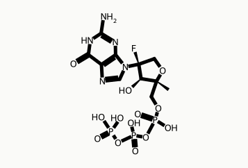 C[C@]1(COP(=O)(O)OP(=O)(O)OP(=O)(O)O)OC[C@@](F)(n2cnc3c(=O)[nH]c(N)nc32)[C@@H]1O